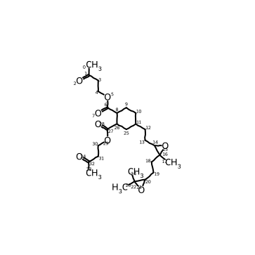 CC(=O)CCOC(=O)C1CCC(CCC2OC2(C)CCC2OC2(C)C)CC1C(=O)OCCC(C)=O